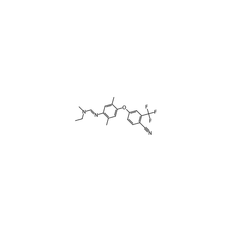 CCN(C)C=Nc1cc(C)c(Oc2ccc(C#N)c(C(F)(F)F)c2)cc1C